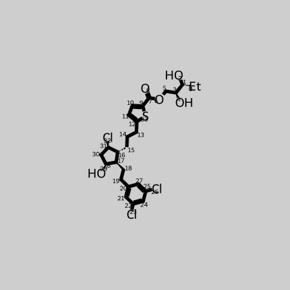 CC[C@@H](O)[C@@H](O)COC(=O)c1ccc(CCC[C@@H]2[C@@H](CCc3cc(Cl)cc(Cl)c3)[C@H](O)C[C@H]2Cl)s1